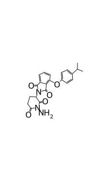 CC(C)c1ccc(Oc2cccc3c2C(=O)N(C2CCC(=O)N(N)C2=O)C3=O)cc1